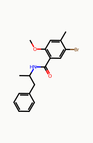 COc1cc(C)c(Br)cc1C(=O)NC(C)Cc1ccccc1